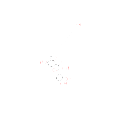 O=c1c(O)c(-c2ccc(O)c(O)c2)oc2cc(O)c3cc(CCCCCCCCCCCCO)oc3c12